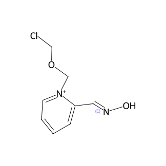 O/N=C/c1cccc[n+]1COCCl